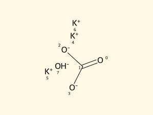 O=C([O-])[O-].[K+].[K+].[K+].[OH-]